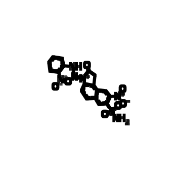 NS(=O)(=O)c1cc2ccc3c(c2cc1[N+](=O)[O-])CC(=O)[N+]3=NNc1ccccc1[N+](=O)[O-]